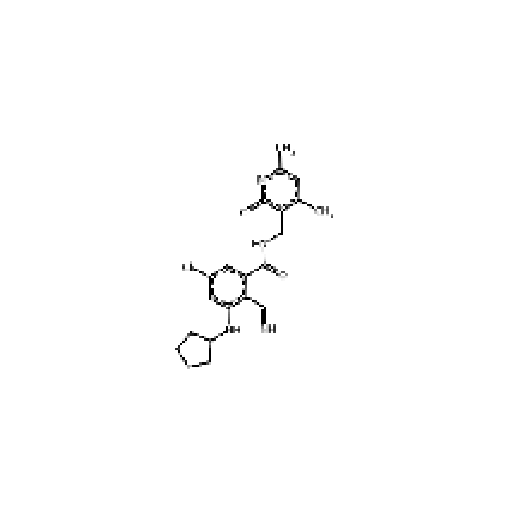 Cc1cc(C)c(CNC(=O)c2cc(Cl)cc(NC3CCCC3)c2C=N)c(=O)[nH]1